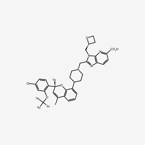 [2H]C([2H])([2H])Oc1cc(Cl)ccc1[C@@]1([2H])C=C(F)c2cccc(C3CCN(Cc4nc5ccc(C(=O)O)nc5n4C[C@@H]4CCO4)CC3)c2O1